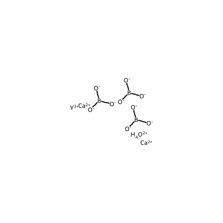 [Ca+2].[Ca+2].[O-]B([O-])[O-].[O-]B([O-])[O-].[O-]B([O-])[O-].[OH4+2].[Y+3]